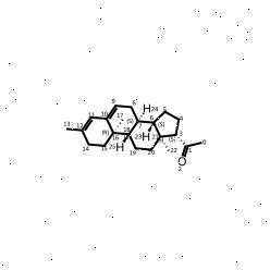 CC(=O)[C@H]1CC[C@H]2[C@@H]3CC=C4C=C(C)CC[C@]4(C)[C@H]3CC[C@]12C